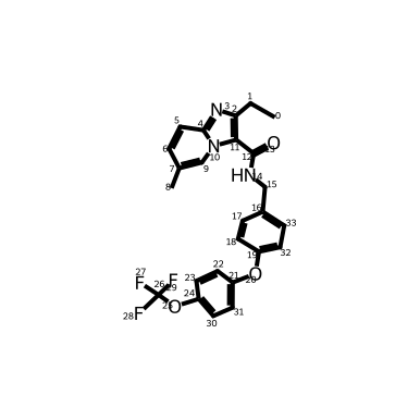 CCc1nc2ccc(C)cn2c1C(=O)NCc1ccc(Oc2ccc(OC(F)(F)F)cc2)cc1